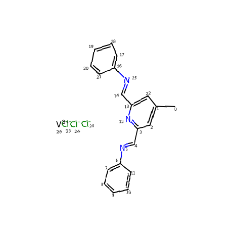 Cc1cc(C=Nc2ccccc2)nc(C=Nc2ccccc2)c1.[Cl-].[Cl-].[Cl-].[V+3]